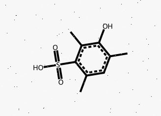 Cc1cc(C)c(S(=O)(=O)O)c(C)c1O